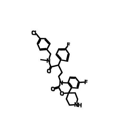 CN(Cc1ccc(Cl)cc1)C(=O)C(CCN1C(=O)OC2(CCNCC2)c2cc(F)ccc21)c1ccc(F)cc1